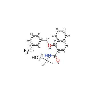 CC(C)(NC(=O)c1ccc2ccccc2c1OCc1cccc(C(F)(F)F)c1)C(=O)O